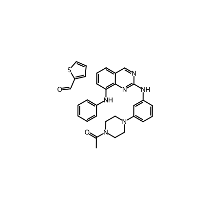 CC(=O)N1CCN(c2cccc(Nc3ncc4cccc(Nc5ccccc5)c4n3)c2)CC1.O=Cc1cccs1